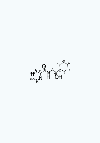 O=C(NCC(O)C1CCCCC1)c1cnccn1